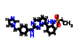 CCS(=O)(=O)Nc1ccccc1-c1ccc2cnc(Nc3ccc(Cn4ccnc4)cc3)nn12